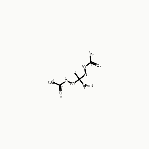 CCCCCC(C)(OOC(=O)C(C)C)OOC(=O)C(C)(C)C